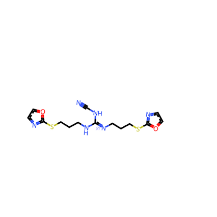 N#CN/C(=N\CCCSc1ncco1)NCCCSc1ncco1